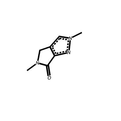 CN1Cc2cn(C)nc2C1=O